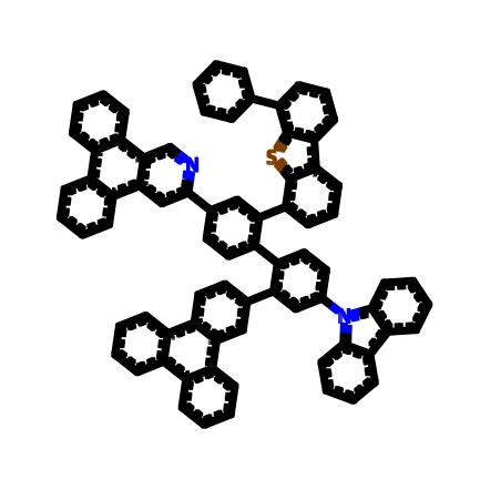 c1ccc(-c2cccc3c2sc2c(-c4cc(-c5cc6c7ccccc7c7ccccc7c6cn5)ccc4-c4ccc(-n5c6ccccc6c6ccccc65)cc4-c4ccc5c6ccccc6c6ccccc6c5c4)cccc23)cc1